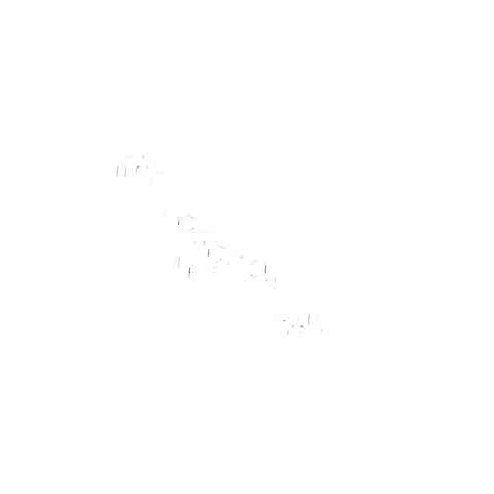 C=C(C(=O)OCCCOc1ccc(C(=O)Oc2ccc(OC(=O)c3ccc(OCCCOC(=O)C(=C)C(F)(F)F)cc3)c(C(F)(F)F)c2C)cc1)C(F)(F)F